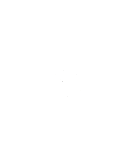 c1ccc(-c2ccc(-c3nc(-c4ccc5ccccc5c4)nc(-c4ccc(-c5ccccc5)c5oc6ccccc6c45)n3)cc2-c2ccc3ccccc3c2)cc1